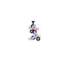 O=C(N1CC[C@@](O)(Cn2cnc(C3CC3)cc2=O)C2(CCCC2)C1)N1CCNC[C@H]1c1cccc(F)c1